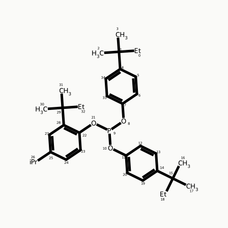 CCC(C)(C)c1ccc(OP(Oc2ccc(C(C)(C)CC)cc2)Oc2ccc(C(C)C)cc2C(C)(C)CC)cc1